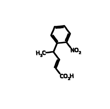 CC(C=CC(=O)O)c1ccccc1[N+](=O)[O-]